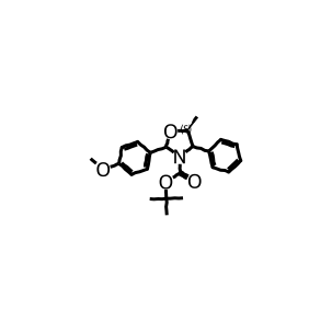 COc1ccc(C2O[C@@H](C)C(c3ccccc3)N2C(=O)OC(C)(C)C)cc1